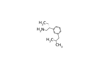 CC[C@@H](CN)c1cccc(CC(C)C)c1